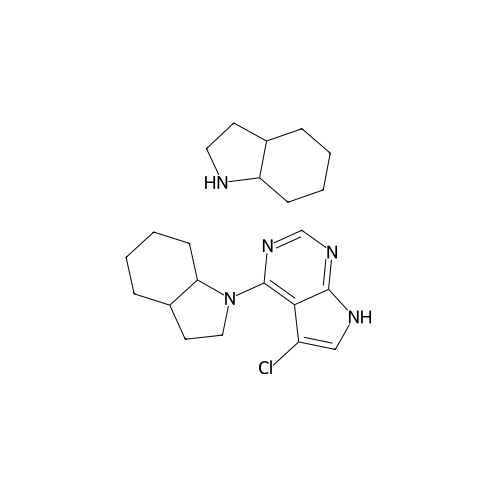 C1CCC2NCCC2C1.Clc1c[nH]c2ncnc(N3CCC4CCCCC43)c12